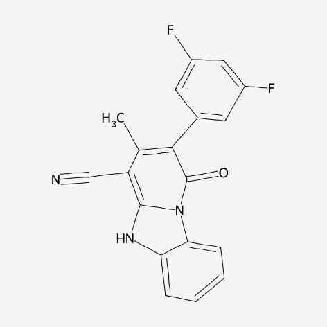 Cc1c(-c2cc(F)cc(F)c2)c(=O)n2c([nH]c3ccccc32)c1C#N